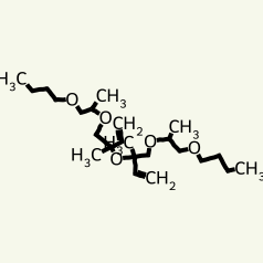 C=CC(C)(COC(C)COCCCC)OC(C)(C=C)COC(C)COCCCC